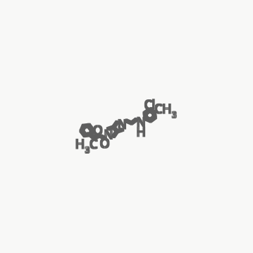 Cc1ccc(NCCCN2CC3CN(C(=O)c4oc5ccccc5c4C)CC3C2)cc1Cl